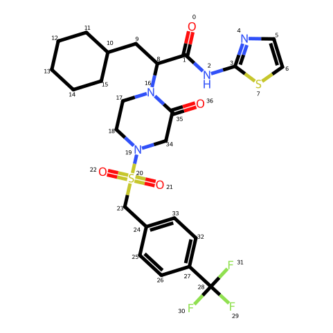 O=C(Nc1nccs1)C(CC1CCCCC1)N1CCN(S(=O)(=O)Cc2ccc(C(F)(F)F)cc2)CC1=O